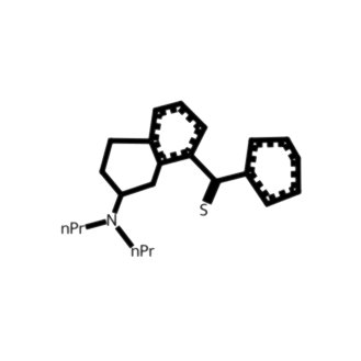 CCCN(CCC)C1CCc2cccc(C(=S)c3ccccc3)c2C1